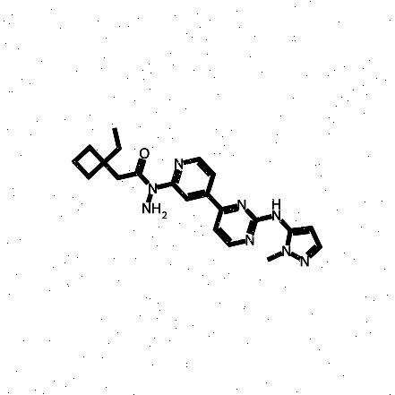 CCC1(CC(=O)N(N)c2cc(-c3ccnc(Nc4ccnn4C)n3)ccn2)CCC1